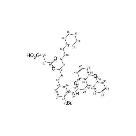 CC(C)(C)c1ccc(CCC(CCCCC2CCCCC2)OC(=O)CCC(=O)O)cc1NC(=O)CC1c2ccccc2Oc2ccccc21